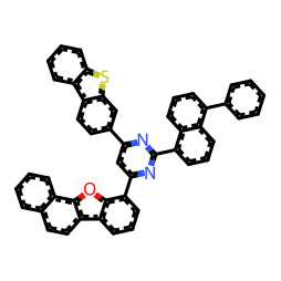 c1ccc(-c2cccc3c(-c4nc(-c5ccc6c(c5)sc5ccccc56)cc(-c5cccc6c5oc5c7ccccc7ccc65)n4)cccc23)cc1